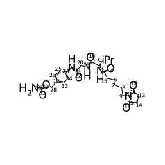 CC(C)C(NC(=O)CCCCCN1C(=O)C=CC1=O)C(=O)NCC(=O)Nc1ccc(COC(N)=O)cc1